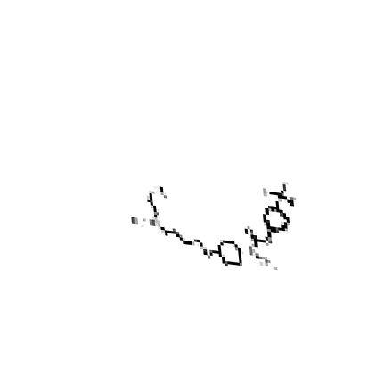 CCCN(C)CCCCO[C@H]1CC[C@H](N(C)C(=O)Oc2ccc(C(F)(F)F)cc2)CC1